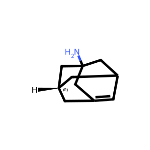 NC12CC3=CC(C[C@H](C3)C1)C2